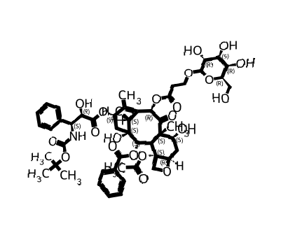 CC(=O)O[C@@]12CO[C@@H]1C[C@H](O)[C@@]1(C)C(=O)[C@H](OC(=O)CCOC3O[C@H](CO)[C@H](O)[C@H](O)[C@H]3O)C3=C(C)[C@@H](OC(=O)[C@H](O)[C@@H](NC(=O)OC(C)(C)C)c4ccccc4)C[C@](O)([C@H]3C)[C@@H](OC(=O)c3ccccc3)C12